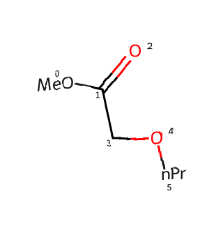 [CH2]OC(=O)COCCC